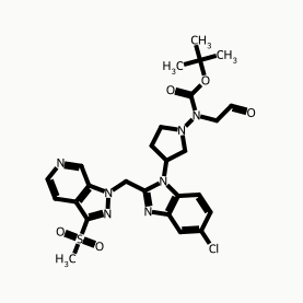 CC(C)(C)OC(=O)N(CC=O)N1CCC(n2c(Cn3nc(S(C)(=O)=O)c4ccncc43)nc3cc(Cl)ccc32)C1